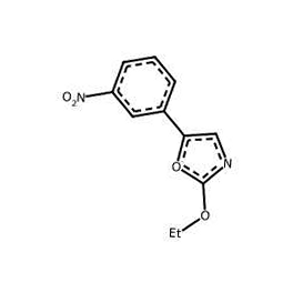 CCOc1ncc(-c2cccc([N+](=O)[O-])c2)o1